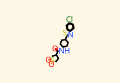 O=C(NC1CCC(c2nc3ccc(Cl)cc3s2)CC1)C1CCS(=O)(=O)C1